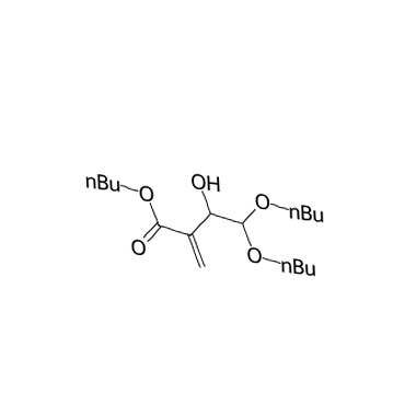 C=C(C(=O)OCCCC)C(O)C(OCCCC)OCCCC